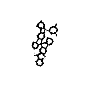 Cc1cc(C)cc(-n2c3ccccc3c3cc4c(cc32)C2(c3ccccc3-c3cc5sc6ccccc6c(=O)c5cc32)c2ccccc2-4)c1